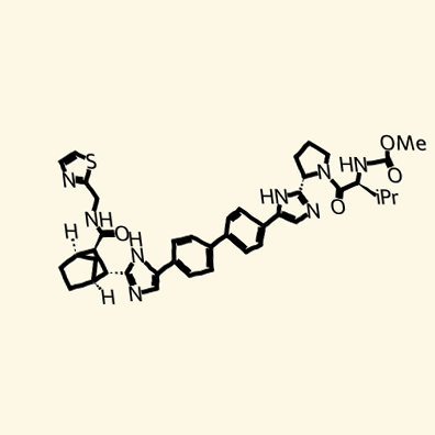 COC(=O)N[C@H](C(=O)N1CCC[C@H]1c1ncc(-c2ccc(-c3ccc(-c4cnc([C@@H]5[C@H]6CC[C@H](C6)[C@H]5C(=O)NCc5nccs5)[nH]4)cc3)cc2)[nH]1)C(C)C